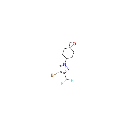 FC(F)c1nn(C2CCC3(CC2)CO3)cc1Br